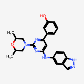 CC1CN(c2nc(Nc3ccc4[nH]ncc4c3)cc(-c3cccc(O)c3)n2)CC(C)O1